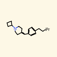 CC(C)CCc1ccc(C=C2CCN(C3CCC3)CC2)cc1